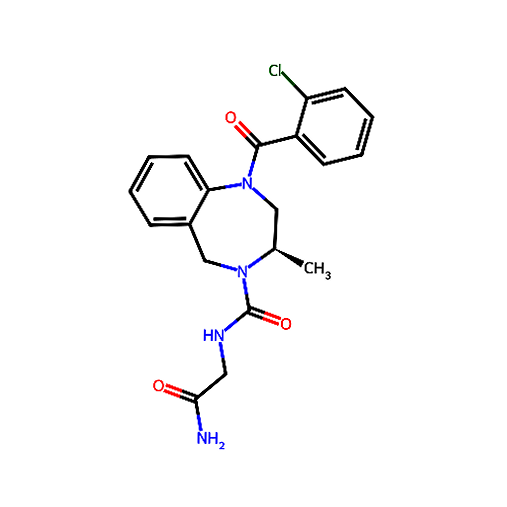 C[C@@H]1CN(C(=O)c2ccccc2Cl)c2ccccc2CN1C(=O)NCC(N)=O